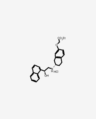 CCOC(=O)COc1ccc2c(c1)C[C@@H](NC[C@@H](O)c1cccc3ccccc13)CC2.Cl